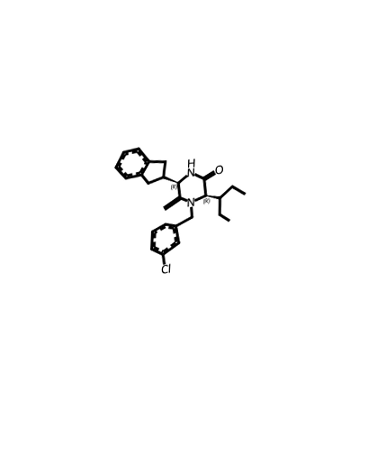 C=C1[C@@H](C2Cc3ccccc3C2)NC(=O)[C@@H](C(CC)CC)N1Cc1cccc(Cl)c1